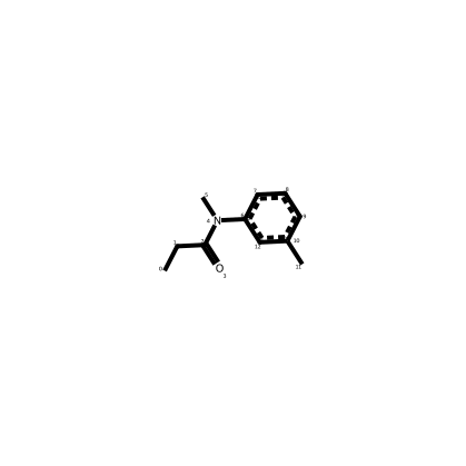 CCC(=O)N(C)c1cccc(C)c1